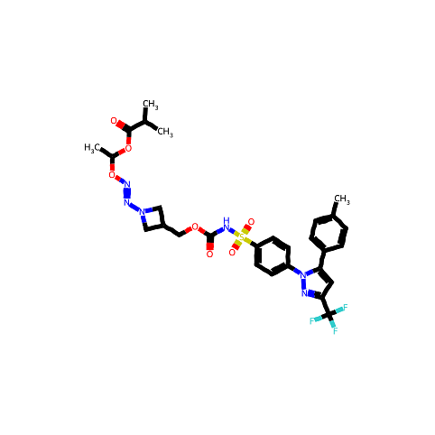 Cc1ccc(-c2cc(C(F)(F)F)nn2-c2ccc(S(=O)(=O)NC(=O)OCC3CN(N=NOC(C)OC(=O)C(C)C)C3)cc2)cc1